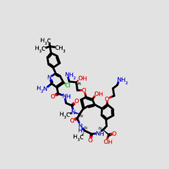 C[C@@H]1NC(=O)[C@@H](N(C)C(=O)CNC(=O)c2c(Cl)cc(-c3ccc(C(C)(C)C)cc3)nc2N)c2cc(OC[C@H](O)CN)c(O)c(c2)-c2cc(ccc2OCCCN)C[C@@H](C(=O)O)NC1=O